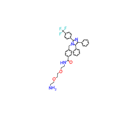 NCCOCCOCCNC(=O)c1ccc(Cn2c(-c3ccc(C(F)(F)F)cc3)nc(-c3ccccc3)c2-c2ccccc2)cc1